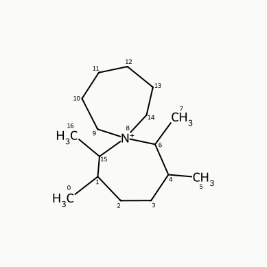 CC1CCC(C)C(C)[N+]2(CCCCCC2)C1C